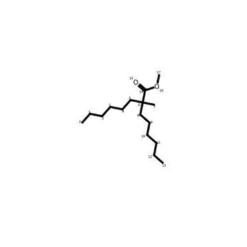 CCCCCCC(C)(CCCCCC)C(=O)OC